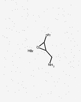 Br.CCCC1OC1CN